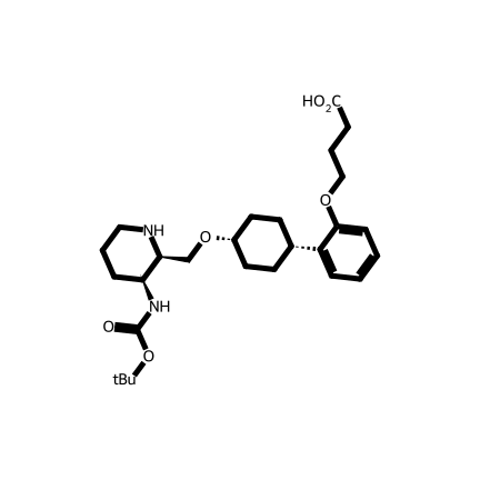 CC(C)(C)OC(=O)N[C@H]1CCCN[C@H]1CO[C@H]1CC[C@@H](c2ccccc2OCCCC(=O)O)CC1